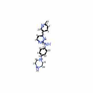 Cc1ccc(-c2ccnc(Nc3ccc(N4CCN(C)CC4)cc3)n2)cn1